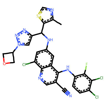 Cc1ncsc1C(Nc1cc(Cl)c2ncc(C#N)c(Nc3ccc(Cl)c(Cl)c3F)c2c1)c1cn(C2COC2)nn1